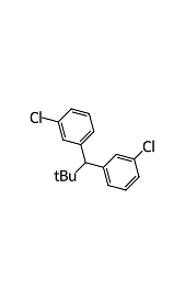 CC(C)(C)C(c1cccc(Cl)c1)c1cccc(Cl)c1